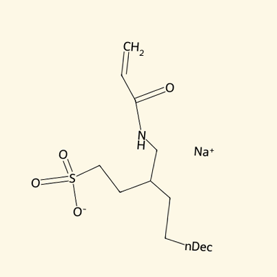 C=CC(=O)NCC(CCCCCCCCCCCC)CCS(=O)(=O)[O-].[Na+]